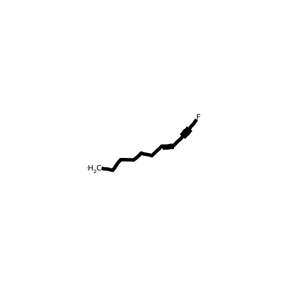 [CH2]CCCCC/C=C/C#CF